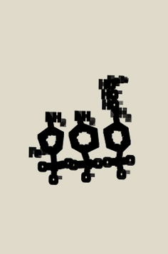 Nc1ccc(S(=O)(=O)[O-])cc1.Nc1ccc(S(=O)(=O)[O-])cc1.Nc1ccc(S(=O)(=O)[O-])cc1.[Fe+3].[Fe+3].[OH-].[OH-].[OH-]